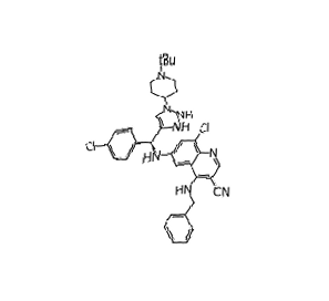 CC(C)(C)N1CCC(N2C=C([C@@H](Nc3cc(Cl)c4ncc(C#N)c(NCc5ccccc5)c4c3)c3ccc(Cl)cc3)NN2)CC1